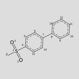 [CH2]S(=O)(=O)c1ccc(-c2ccccc2)cc1